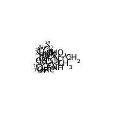 C=CCCN(/C(=N/C)c1cc(F)c(-c2c(O)cccc2F)nc1N(C=O)C1C(C)=CC=CC1C1CC1)C(C)CNC=O